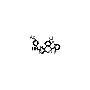 CC(=O)c1ccc(Nc2ncc3c(n2)-c2ccc(Cl)cc2C(c2c(F)cccc2F)=NC3)cc1